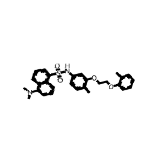 Cc1ccccc1OCCOc1cc(NS(=O)(=O)c2cccc3c(N(C)C)cccc23)ccc1C